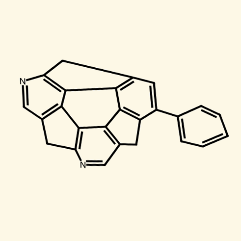 c1ccc(-c2cc3c4c5c(ncc6c5c5c(ncc7c5c4c2C7)C6)C3)cc1